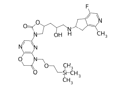 Cc1ncc(F)c2c1CC(NCC(O)CC1CN(c3cnc4c(n3)N(COCC[Si](C)(C)C)C(=O)CO4)C(=O)O1)C2